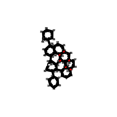 c1ccc(-c2ccccc2-c2c(-c3ccccc3)ccc3c2N(c2ccccc2)c2cccc4c(-c5ccccn5)ccc-3c24)cc1